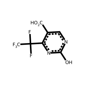 O=C(O)c1cnc(O)nc1C(F)(F)C(F)(F)F